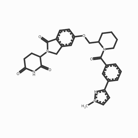 Cn1ccc(-c2cccc(C(=O)N3CCCCC3COc3ccc4c(c3)CN(C3CCC(=O)NC3=O)C4=O)c2)n1